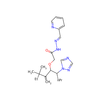 C=C(C(OCC(=O)NN=Cc1ccccn1)C(CCC)n1cncn1)C(C)(C)CC